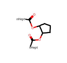 CCCCCCCC(=O)OC1CCCC1OC(=O)CCCCCCC